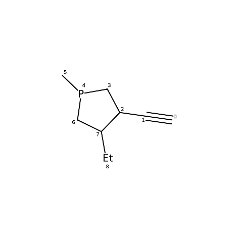 C#CC1CP(C)CC1CC